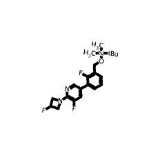 CC(C)(C)[Si](C)(C)OCc1cccc(-c2cnc(N3CC(F)C3)c(F)c2)c1F